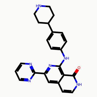 O=c1[nH]ccc2cc(-c3ncccn3)nc(Nc3ccc(C4CCNCC4)cc3)c12